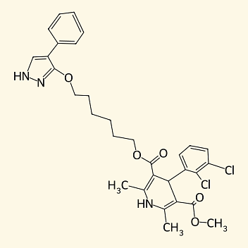 COC(=O)C1=C(C)NC(C)=C(C(=O)OCCCCCCOc2n[nH]cc2-c2ccccc2)C1c1cccc(Cl)c1Cl